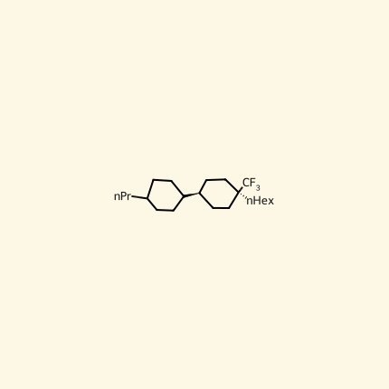 CCCCCC[C@]1(C(F)(F)F)CC[C@@H](C2CCC(CCC)CC2)CC1